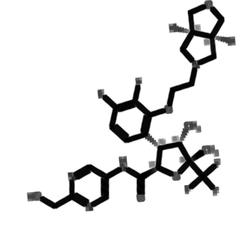 C[C@H]1[C@@H](c2ccc(F)c(F)c2OCCN2C[C@H]3COC[C@H]3C2)[C@H](C(=O)Nc2cnc(CO)nc2)O[C@@]1(C)C(F)(F)F